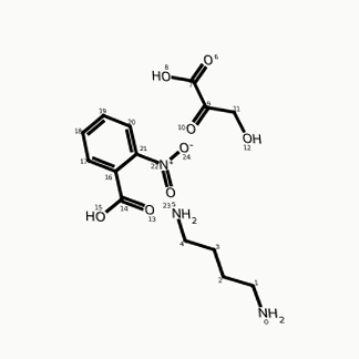 NCCCCN.O=C(O)C(=O)CO.O=C(O)c1ccccc1[N+](=O)[O-]